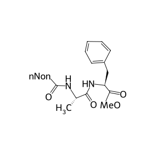 CCCCCCCCCC(=O)N[C@@H](C)C(=O)N[C@@H](Cc1ccccc1)C(=O)OC